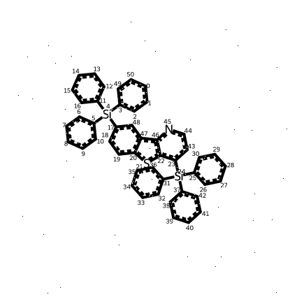 c1ccc([Si](c2ccccc2)(c2ccccc2)c2ccc3sc4c([Si](c5ccccc5)(c5ccccc5)c5ccccc5)ccnc4c3c2)cc1